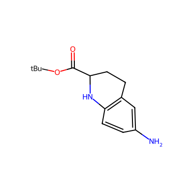 CC(C)(C)OC(=O)C1CCc2cc(N)ccc2N1